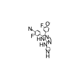 COc1ccc(C2=C(c3ccc(C#N)c(F)c3)NC3C(NC4CCNC4)=NC=CN23)cc1F